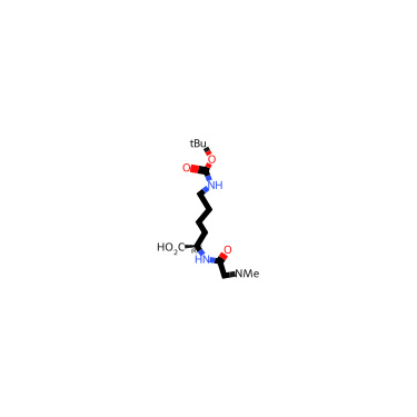 CNCC(=O)N[C@H](CCCCNC(=O)OC(C)(C)C)C(=O)O